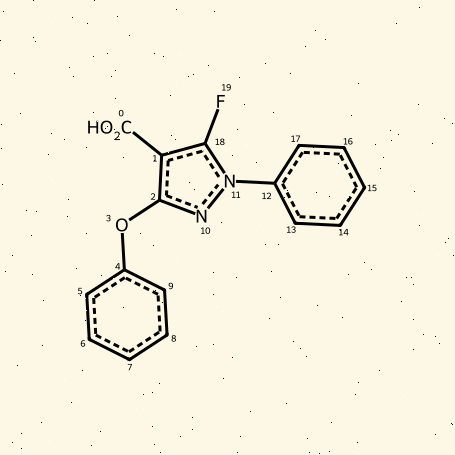 O=C(O)c1c(Oc2ccccc2)nn(-c2ccccc2)c1F